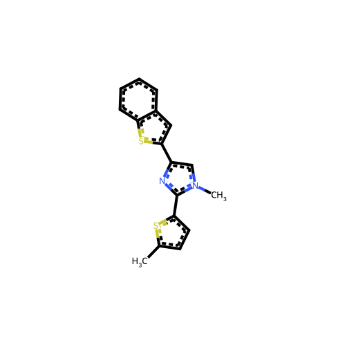 Cc1ccc(-c2nc(-c3cc4ccccc4s3)cn2C)s1